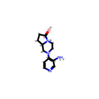 Nc1cnccc1N1CCN2C(=O)CCC2C1